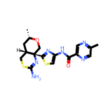 Cc1cnc(C(=O)Nc2csc([C@]34CO[C@@H](C)C[C@H]3CSC(N)=N4)n2)cn1